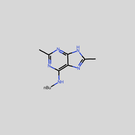 CCCCNc1nc(C)nc2[nH]c(C)nc12